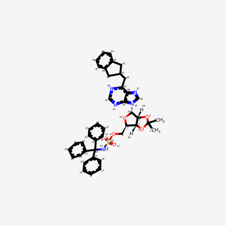 CC1(C)O[C@@H]2[C@H](O1)[C@@H](COS(=O)(=O)NC(c1ccccc1)(c1ccccc1)c1ccccc1)O[C@@H]2n1cnc2c(CC3Cc4ccccc4C3)ncnc21